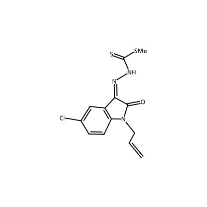 C=CCN1C(=O)C(=NNC(=S)SC)c2cc(Cl)ccc21